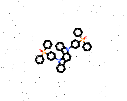 O=P(c1ccccc1)(c1ccccc1)c1ccc(-n2c3ccccc3c3c2ccc2c4ccccc4n(-c4ccc(P(=O)(c5ccccc5)c5ccccc5)cc4)c23)cc1